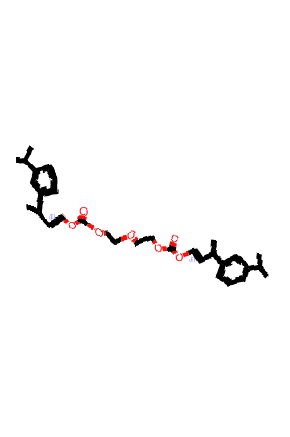 CC(C)c1cccc(C(C)/C=C/OC(=O)OCCOCCOC(=O)O/C=C/C(C)c2cccc(C(C)C)c2)c1